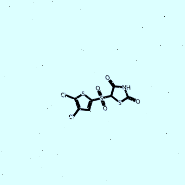 O=C1NC(=O)C(S(=O)(=O)c2cc(Cl)c(Cl)s2)S1